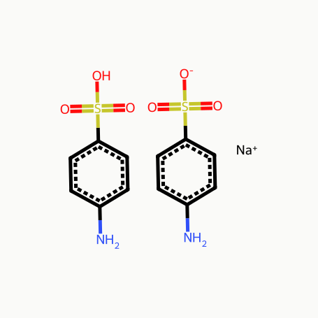 Nc1ccc(S(=O)(=O)O)cc1.Nc1ccc(S(=O)(=O)[O-])cc1.[Na+]